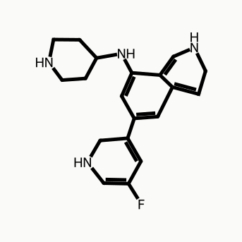 FC1=CNCC(c2cc(NC3CCNCC3)c3c(c2)=CCNC=3)=C1